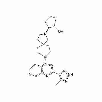 Cc1n[nH]cc1-c1nc(N2CCC3(CC2)CCN([C@H]2CCC[C@@H]2O)C3)c2ccncc2n1